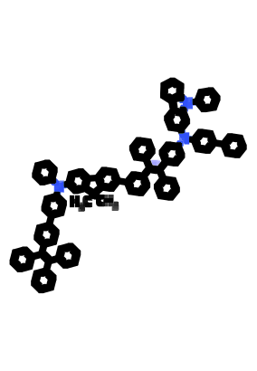 CC1(C)c2cc(-c3cccc(/C(=C(\c4ccccc4)c4ccc(N(c5ccc(-c6ccccc6)cc5)c5ccc6c7ccccc7n(-c7ccccc7)c6c5)cc4)c4ccccc4)c3)ccc2-c2ccc(N(c3ccccc3)c3ccc(-c4ccc(C(=C(c5ccccc5)c5ccccc5)c5ccccc5)cc4)cc3)cc21